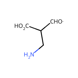 NCC([C]=O)C(=O)O